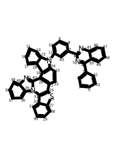 c1ccc(-c2nc(-c3cccc(-n4c5ccccc5c5c6c(ccc54)c4sc5ccccc5c4n4c5ccccc5nc64)c3)nc3ccccc23)cc1